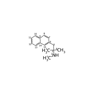 CNC(C)(C)Cc1ccc2ccccc2c1